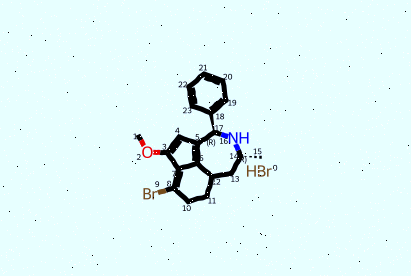 Br.COC1=CC2=C3C1=C(Br)CCC3C[C@@H](C)N[C@@H]2c1ccccc1